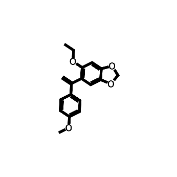 C=C(c1ccc(OC)cc1)c1cc2c(cc1OCC)OCO2